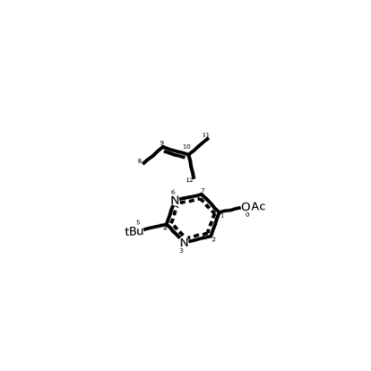 CC(=O)Oc1cnc(C(C)(C)C)nc1.CC=C(C)C